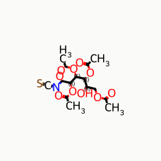 CC(=O)OC[C@@H](O)[C@@H](OC(C)=O)[C@H](OC(C)=O)[C@@H](OC(C)=O)C(=O)N=C=S